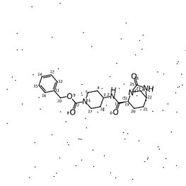 O=C(NC1CCN(C(=O)OCc2ccccc2)CC1)[C@@H]1CCC2CN1C(=O)N2